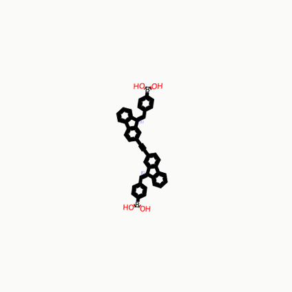 OB(O)c1ccc(/C=C2\c3ccccc3-c3ccc(C#Cc4ccc5c(c4)/C(=C/c4ccc(B(O)O)cc4)c4ccccc4-5)cc32)cc1